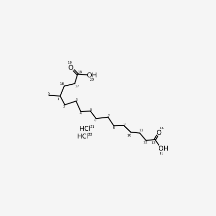 CC(CCCCCCCCCCCC(=O)O)CCC(=O)O.Cl.Cl